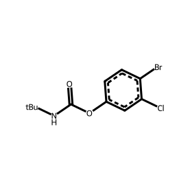 CC(C)(C)NC(=O)Oc1ccc(Br)c(Cl)c1